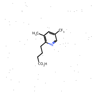 Cc1cc(C(F)(F)F)cnc1CCCC(=O)O